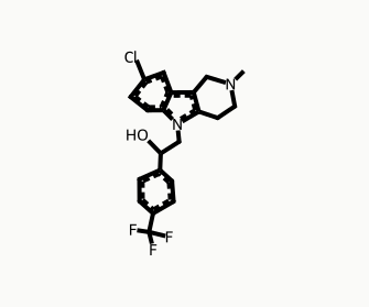 CN1CCc2c(c3cc(Cl)ccc3n2CC(O)c2ccc(C(F)(F)F)cc2)C1